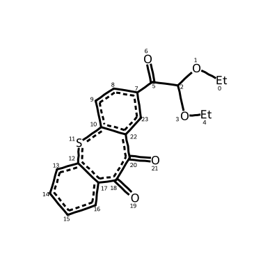 CCOC(OCC)C(=O)c1ccc2sc3ccccc3c(=O)c(=O)c2c1